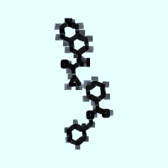 O=C(OCc1ccccc1)c1cccc([C@@H]2C[C@H]2C(=O)Nc2ccc3cnccc3c2)c1